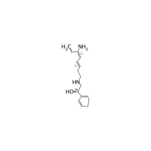 C=C/C(N)=C\C=C\CCNC[C@H](O)C1=CCCC=C1